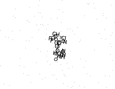 CCOc1cc([C@H](Cc2c(Cl)cncc2Cl)OC(=O)c2ccc(COc3cccc([C@@H](NC(O)O[C@H]4CN5CCC4CC5)c4ccccc4)c3)o2)ccc1OC(F)F